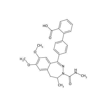 CNC(=O)N1N=C(c2ccc(-c3ccccc3C(=O)O)cc2)c2cc(OC)c(OC)cc2CC1C